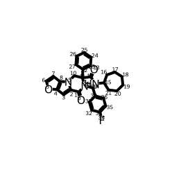 O=C1c2cc3occc3n2CC(C(=O)NC2CCCCCC2)(c2ccccc2)N1Cc1ccc(F)cc1